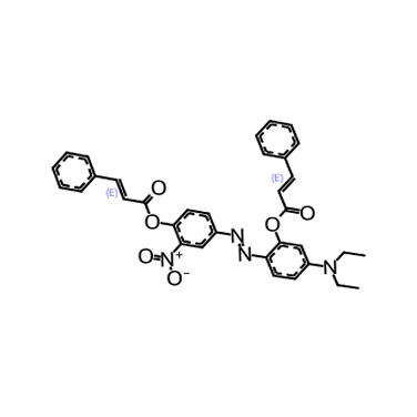 CCN(CC)c1ccc(N=Nc2ccc(OC(=O)/C=C/c3ccccc3)c([N+](=O)[O-])c2)c(OC(=O)/C=C/c2ccccc2)c1